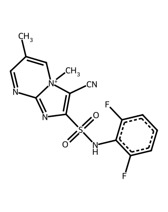 CC1=C[N+]2(C)C(=NC(S(=O)(=O)Nc3c(F)cccc3F)=C2C#N)N=C1